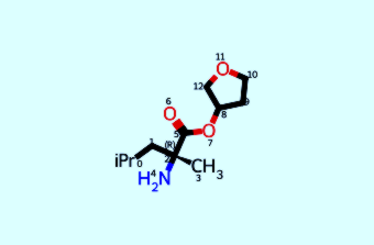 CC(C)C[C@@](C)(N)C(=O)OC1CCOC1